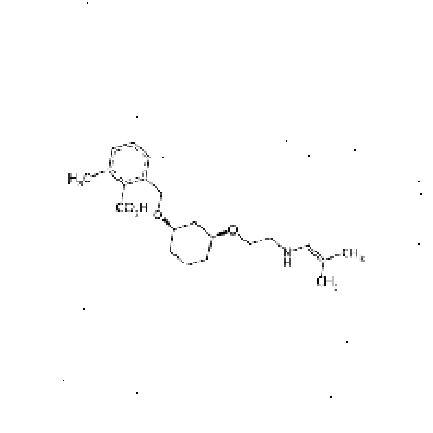 CC(C)=CNCCO[C@H]1CCC[C@@H](OCc2cccc(C)c2C(=O)O)C1